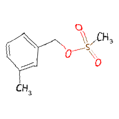 Cc1cccc(COS(C)(=O)=O)c1